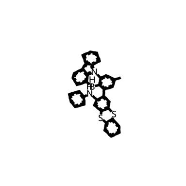 Cc1cc(-c2cc3c(cc2Nc2ccccc2)Sc2ccccc2S3)c2c(c1)-n1c3ccccc3c3cccc(c31)B2